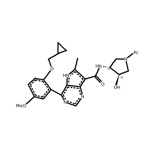 COc1ccc(OCC2CC2)c(-c2ncnc3c(C(=O)N[C@@H]4CN(C(C)=O)C[C@H]4O)c(C)[nH]c23)c1